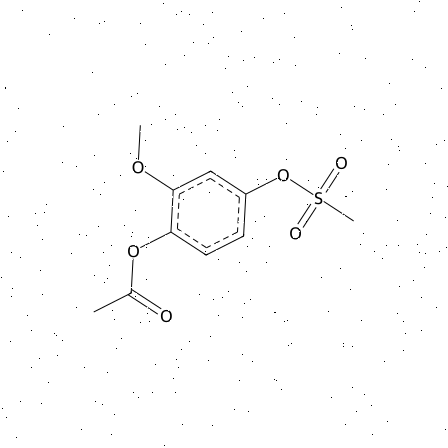 COc1cc(OS(C)(=O)=O)ccc1OC(C)=O